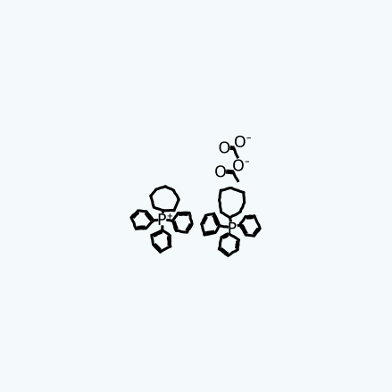 CC(=O)[O-].CC(=O)[O-].c1ccc([P+](c2ccccc2)(c2ccccc2)C2CCCCCCC2)cc1.c1ccc([P+](c2ccccc2)(c2ccccc2)C2CCCCCCC2)cc1